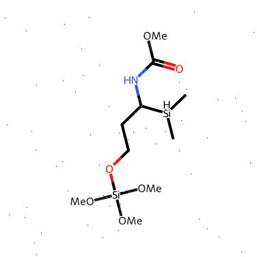 COC(=O)NC(CCO[Si](OC)(OC)OC)[SiH](C)C